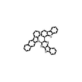 c1ccc2cc3c(cc2c1)c1ccccc1n3-c1nc2sc3ccccc3c2nc1-c1cccc2c1sc1ccccc12